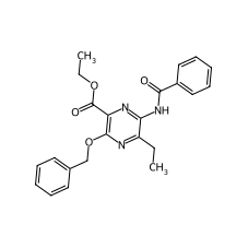 CCOC(=O)c1nc(NC(=O)c2ccccc2)c(CC)nc1OCc1ccccc1